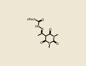 CCCCCC(=O)N/N=C(\C)C1C(=O)N(C)C(=O)N(C)C1=O